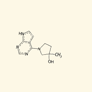 CC1(O)CCN(c2ncnc3[nH]ccc23)C1